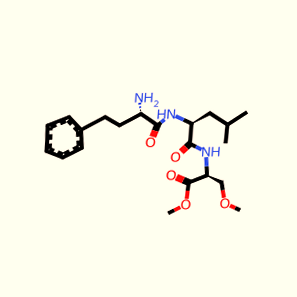 COC[C@H](NC(=O)[C@H](CC(C)C)NC(=O)[C@@H](N)CCc1ccccc1)C(=O)OC